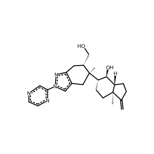 C=C1CC[C@H]2[C@H](O)[C@@H]([C@@]3(C)Cc4cn(-c5cnccn5)nc4C[C@@H]3CO)CC[C@]12C